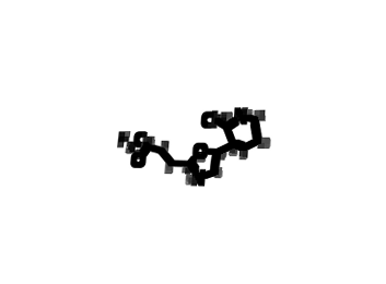 O=C(CCc1ncc(-c2cccnc2Cl)o1)C(F)(F)F